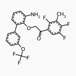 Cc1c(F)c(F)cc(C(=O)COc2c(N)cccc2-c2cccc(OC(F)(F)F)c2)c1F